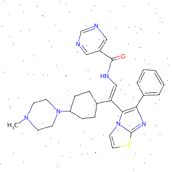 CN1CCN(C2CCC(C(=CNC(=O)c3cncnc3)c3c(-c4ccccc4)nc4sccn34)CC2)CC1